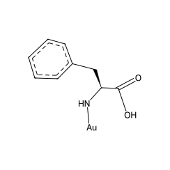 O=C(O)[C@H](Cc1ccccc1)[NH][Au]